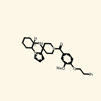 COc1cc(C(=O)N2CCC3(CC2)N[C@H]2CCCCC2n2cccc23)ccc1OCCC(C)C